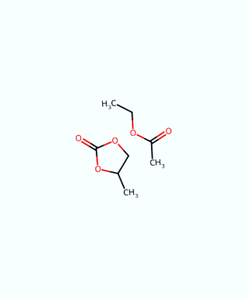 CC1COC(=O)O1.CCOC(C)=O